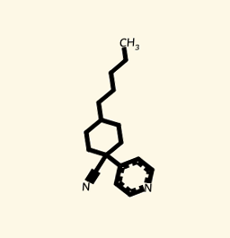 CCCCCC1CCC(C#N)(c2ccncc2)CC1